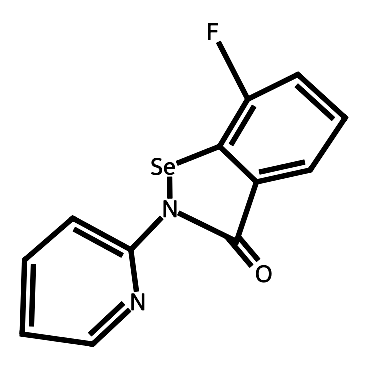 O=c1c2cccc(F)c2[se]n1-c1ccccn1